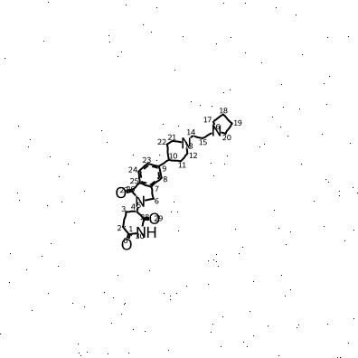 O=C1CCC(N2Cc3cc(C4CCN(CCN5CCCC5)CC4)ccc3C2=O)C(=O)N1